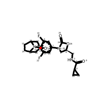 O=C(NC[C@H]1CN(c2cc(F)c(N3C4CCC3C[S+]([O-])C4)c(F)c2)C(=O)O1)C1CC1